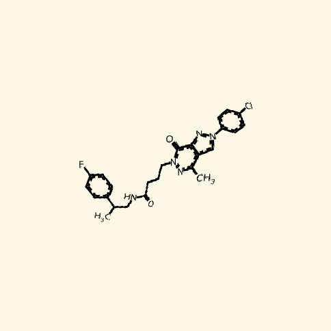 Cc1nn(CCCC(=O)NCC(C)c2ccc(F)cc2)c(=O)c2nn(-c3ccc(Cl)cc3)cc12